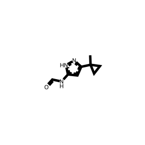 CC1(c2cc(NC=O)[nH]n2)CC1